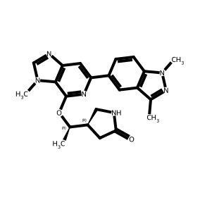 Cc1nn(C)c2ccc(-c3cc4ncn(C)c4c(O[C@H](C)[C@H]4CNC(=O)C4)n3)cc12